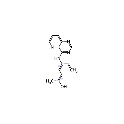 C=C/C(=C\C=C(/C)O)Nc1ncnc2cccnc12